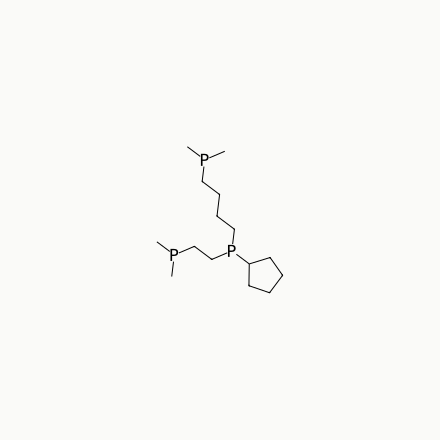 CP(C)CCCCP(CCP(C)C)C1CCCC1